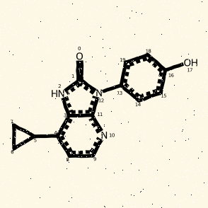 O=c1[nH]c2c(C3CC3)ccnc2n1-c1ccc(O)cc1